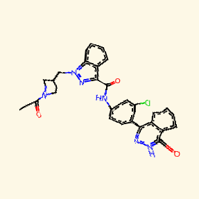 CC(=O)N1CC(Cn2nc(C(=O)Nc3ccc(-c4n[nH]c(=O)c5ccccc45)c(Cl)c3)c3ccccc32)C1